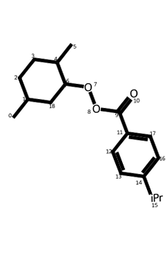 CC1CCC(C)[C](OOC(=O)c2ccc(C(C)C)cc2)C1